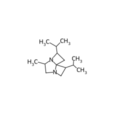 CC(C)C1CC23C(C(C)C)CN2CC(C)N13